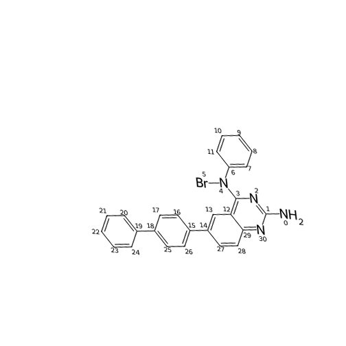 Nc1nc(N(Br)c2ccccc2)c2cc(-c3ccc(-c4ccccc4)cc3)ccc2n1